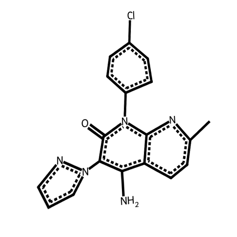 Cc1ccc2c(N)c(-n3cccn3)c(=O)n(-c3ccc(Cl)cc3)c2n1